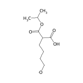 CC(C)OC(=O)C(CCCC[O])C(=O)O